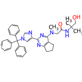 CN(CC(=O)NC(C)(C)CO)c1nc(-c2cn(C(c3ccccc3)(c3ccccc3)c3ccccc3)cn2)nc2c1CCC2